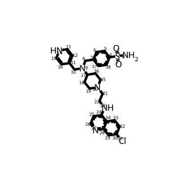 NS(=O)(=O)c1ccc(CN(CC2=C=CNC=C2)C2CCN(CCNc3ccnc4cc(Cl)ccc34)CC2)cc1